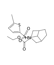 CCOC(=O)C1CC2CCC(C1)C2NS(=O)(=O)c1ccc(C)s1